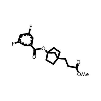 COC(=O)CCC12CCC(OC(=O)c3cc(F)cc(F)c3)(CC1)C2